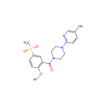 CC(C)Oc1ccc(S(C)(=O)=O)cc1C(=O)N1CCN(c2ccc(C#N)cn2)CC1